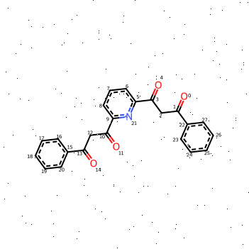 O=C(CC(=O)c1cccc(C(=O)CC(=O)c2ccccc2)n1)c1ccccc1